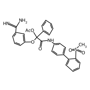 CC(=O)OC(Oc1cccc(C(=N)N)c1)(C(=O)Nc1ccc(-c2ccccc2S(C)(=O)=O)cc1)c1ccccc1